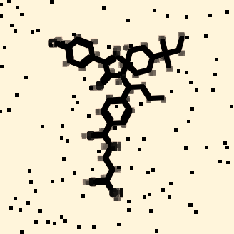 CCCC(c1ccc(C(=O)NCCC(=O)O)cc1)N1C(=O)C(c2ccc(Cl)cc2)=NC12CCC(C(C)(C)CC)CC2